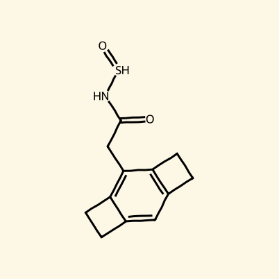 O=[SH]NC(=O)Cc1c2c(cc3c1CC3)CC2